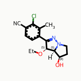 CCO[C@@H]1C(c2ccc(C#N)c(Cl)c2C)=NN2CC[C@@H](O)[C@@H]12